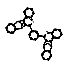 c1cc(-c2nc3ccccc3c3c2C2CC3c3ccccc32)cc(-c2nc3ccccc3c3c2C2CC3c3ccccc32)c1